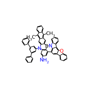 Cc1c2ccccc2c(C)c2cc3c(cc12)B1c2c(cc(N)cc2N3c2cc(-c3ccccc3)cc(-c3ccccc3)c2)-c2cc3c4ccccc4oc3c3c4ccccc4n1c23